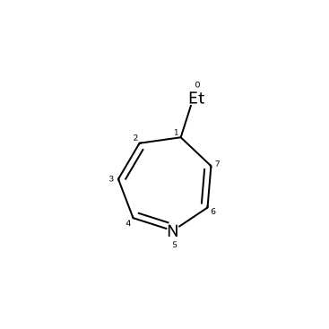 CCC1C=CC=NC=C1